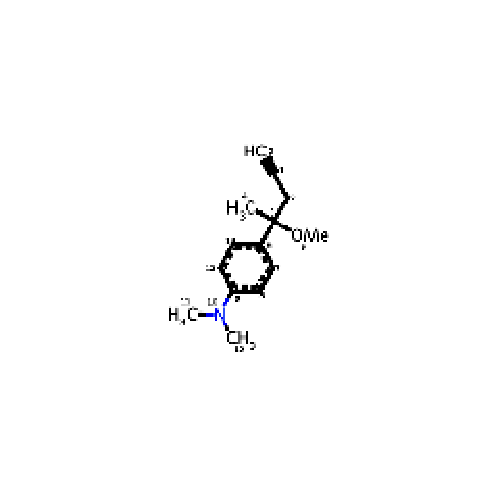 C#CCC(C)(OC)c1ccc(N(C)C)cc1